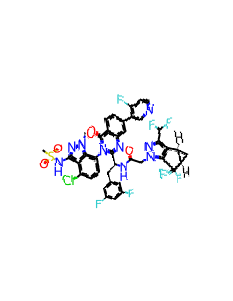 Cn1nc(NS(C)(=O)=O)c2c(Cl)ccc(-n3c([C@H](Cc4cc(F)cc(F)c4)NC(=O)Cn4nc(C(F)F)c5c4C(F)(F)[C@@H]4C[C@H]54)nc4cc(-c5cnccc5F)ccc4c3=O)c21